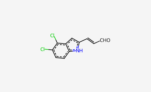 O=C/C=C/c1cc2c(Cl)c(Cl)ccc2[nH]1